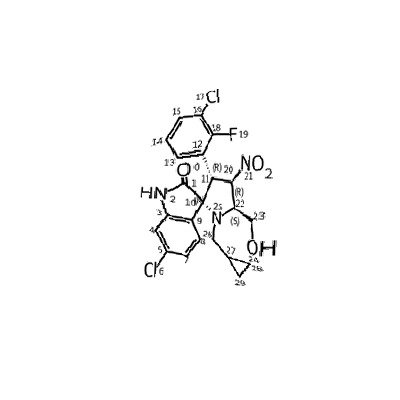 O=C1Nc2cc(Cl)ccc2[C@]12[C@H](c1cccc(Cl)c1F)[C@@H]([N+](=O)[O-])[C@@H](CO)N2CC1CC1